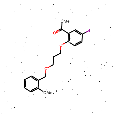 COC(=O)c1cc(I)ccc1OCCCOCc1ccccc1OC